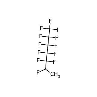 CC(F)C(F)(F)C(F)(F)C(F)(F)C(F)(F)C(F)(F)I